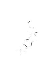 CC1(C)Cc2cc(O)c(N3CC(C=O)NS3(=O)=O)cc2C1